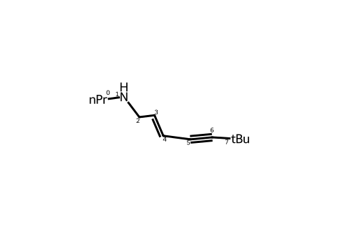 CCCNCC=CC#CC(C)(C)C